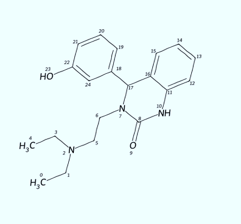 CCN(CC)CCN1C(=O)Nc2ccccc2C1c1cccc(O)c1